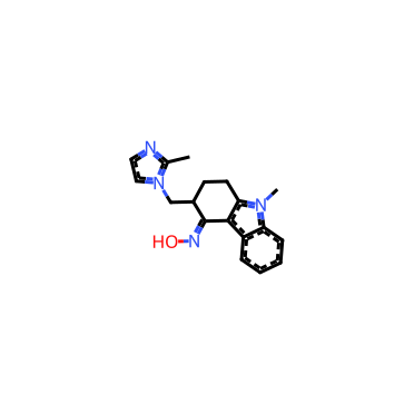 Cc1nccn1CC1CCc2c(c3ccccc3n2C)/C1=N/O